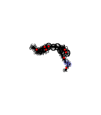 CCCCC/C=C\C/C=C\CCCCCCCCOCC(CN1CCC(CCOC)CC1)OCCOCCO[C@H]1CC[C@@]2(C)C(=CCC3C2CC[C@@]2(C)C3CC[C@@H]2[C@H](C)CCCC(C)C)C1